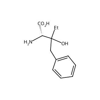 CCC(O)(Cc1ccccc1)[C@H](N)C(=O)O